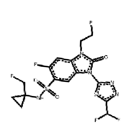 O=c1n(CCF)c2cc(F)c(S(=O)(=O)NC3(CF)CC3)cc2n1-c1nnc(C(F)F)s1